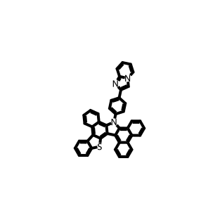 c1ccc2c(c1)sc1c2c2ccccc2c2c1c1c3ccccc3c3ccccc3c1n2-c1ccc(-c2cn3ccccc3n2)cc1